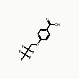 O=C(O)c1ccc(OCC(F)(F)C(F)(F)F)nc1